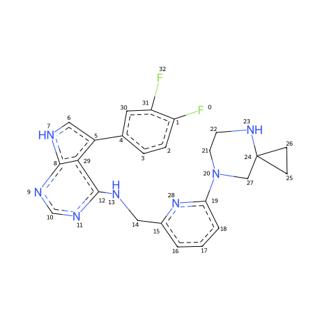 Fc1ccc(-c2c[nH]c3ncnc(NCc4cccc(N5CCNC6(CC6)C5)n4)c23)cc1F